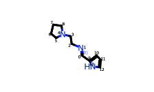 C(=N\CCN1CCCC1)/c1ccc[nH]1